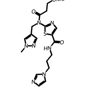 COCCC(=O)N(Cc1cnn(C)c1)c1ncc(C(=O)NCCCn2ccnc2)s1